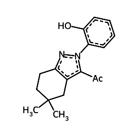 CC(=O)c1c2c(nn1-c1ccccc1O)CCC(C)(C)C2